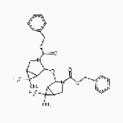 CC1(C)C2CN(C(=O)OCc3ccccc3)C(OC3C4C(CN3C(=O)OCc3ccccc3)C4(C)C)C21